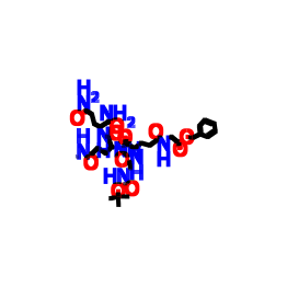 CNC(=O)CCC(NC(=O)C(CCC(=O)NCC(=O)OCc1ccccc1)NC(=O)CNC(=O)OC(C)(C)C)C(=O)NC(CCC(N)=O)C(N)=O